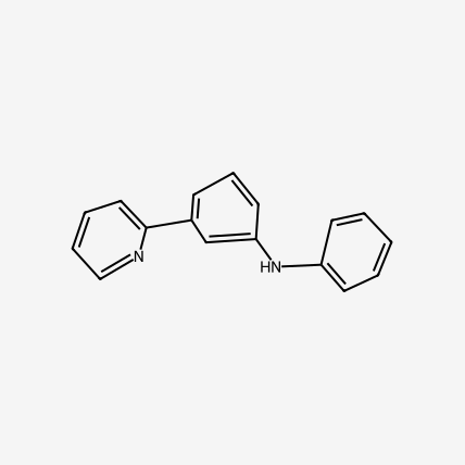 c1ccc(Nc2cccc(-c3ccccn3)c2)cc1